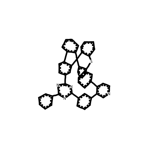 c1ccc(-c2nc(-c3cccc(-c4cnccc4-c4ccccc4)c3)nc(-c3ccc4c(c3)C3(c5ccccc5Sc5ccccc53)c3ccccc3-4)n2)cc1